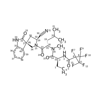 CC[C@H](NC(=O)C1(F)C(F)(F)C1(F)F)C(=O)N(C)[C@@H](CC(C)C)C(=O)N1C[C@]2(C[C@H]1C#N)C(=O)Nc1ccccc12